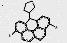 Brc1ccc2c3c1ccc1ccc4c(Br)ccc(c4c13)C2C1CCCC1